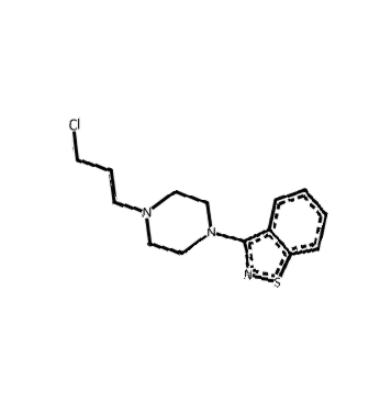 ClCCCN1CCN(c2nsc3ccccc23)CC1